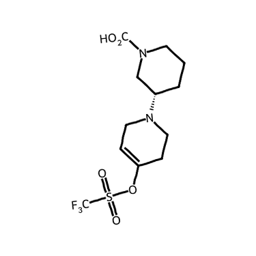 O=C(O)N1CCC[C@H](N2CC=C(OS(=O)(=O)C(F)(F)F)CC2)C1